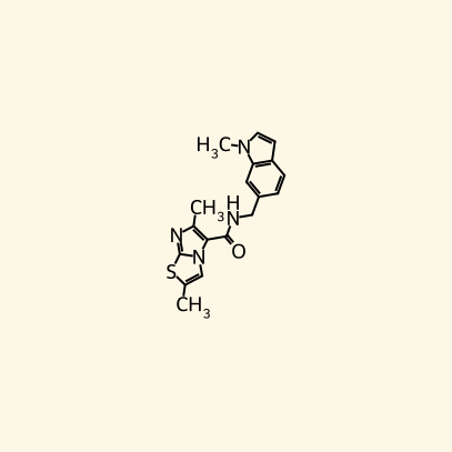 Cc1cn2c(C(=O)NCc3ccc4ccn(C)c4c3)c(C)nc2s1